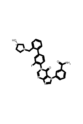 NC(=O)c1cccc(-n2cnc3ncn(-c4ccc(-c5ccccc5CN5CC[C@H](O)C5)cc4F)c(=O)c32)c1